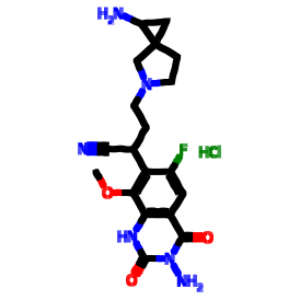 COc1c(C(C#N)CCN2CCC3(CC3N)C2)c(F)cc2c(=O)n(N)c(=O)[nH]c12.Cl